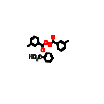 Cc1cccc(C(=O)OOC(=O)c2cccc(C)c2)c1.O=C(O)c1ccccc1